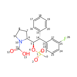 CS(=O)(=O)O[C@@H](C1CCCN1C(=O)O)[C@H](c1ccccc1)c1cccc(F)c1